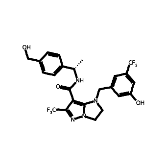 C[C@H](NC(=O)c1c(C(F)(F)F)nn2c1N(Cc1cc(O)cc(C(F)(F)F)c1)CC2)c1ccc(CO)cc1